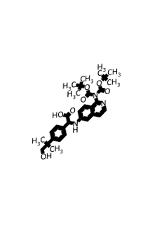 CC(C)(C)OC(=O)N(C(=O)OC(C)(C)C)c1nccc2cc(NC(C(=O)O)c3ccc(C(C)(C)CO)cc3)ccc12